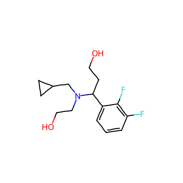 OCCC(c1cccc(F)c1F)N(CCO)CC1CC1